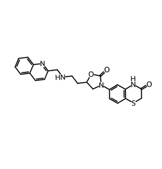 O=C1CSc2ccc(N3CC(CCNCc4ccc5ccccc5n4)OC3=O)cc2N1